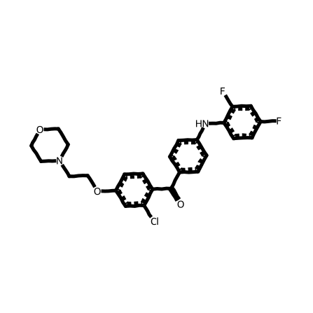 O=C(c1ccc(Nc2ccc(F)cc2F)cc1)c1ccc(OCCN2CCOCC2)cc1Cl